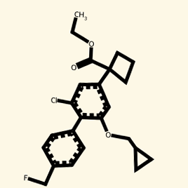 CCOC(=O)C1(c2cc(Cl)c(-c3ccc(CF)cc3)c(OCC3CC3)c2)CCC1